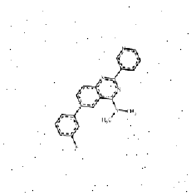 CN(C)c1nc(-c2cccnc2)nc2ccc(-c3cccc(F)c3)cc12